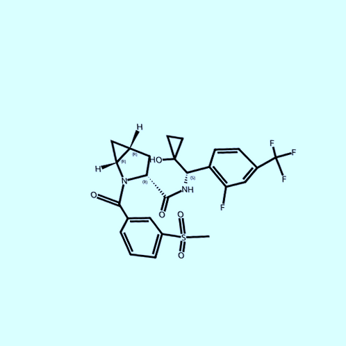 CS(=O)(=O)c1cccc(C(=O)N2[C@@H](C(=O)N[C@@H](c3ccc(C(F)(F)F)cc3F)C3(O)CC3)C[C@H]3C[C@H]32)c1